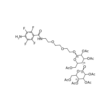 CC(=O)OCC1O[C@@H](OCCOCCOCCNC(=O)c2c(F)c(F)c(N)c(F)c2F)C(OC(C)=O)C(OC(C)=O)[C@@H]1O[C@@H]1OC(COC(C)=O)[C@H](OC(C)=O)C(OC(C)=O)C1OC(C)=O